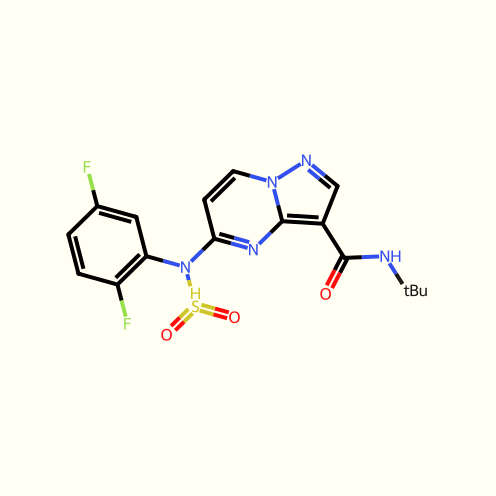 CC(C)(C)NC(=O)c1cnn2ccc(N(c3cc(F)ccc3F)[SH](=O)=O)nc12